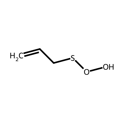 C=CCSOO